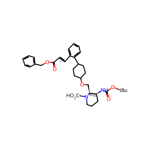 CC(C)(C)OC(=O)N[C@H]1CCCN(C(=O)O)[C@H]1COC1CCC(c2ccccc2/C=C/C(=O)OCc2ccccc2)CC1